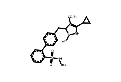 CCCN1NC(C2CC2)=C(C(=O)OCC)C1Cc1ccc(-c2ccccc2S(=O)(=O)NC(C)(C)C)cc1